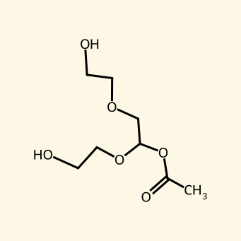 CC(=O)OC(COCCO)OCCO